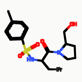 Cc1ccc(S(=O)(=O)NC(CC(C)C)C(=O)N2CCCC2CO)cc1